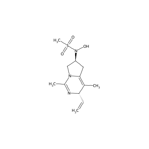 C=C[C@@H]1N=C(C)N2C[C@@H](N(O)S(C)(=O)=O)CC2=C1C